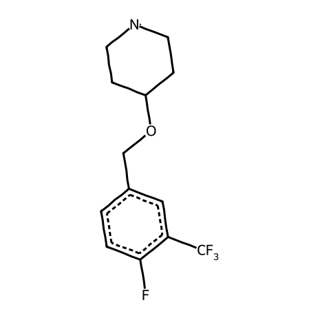 Fc1ccc(COC2CC[N]CC2)cc1C(F)(F)F